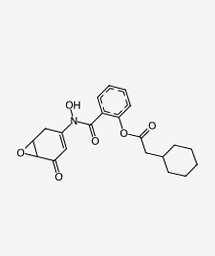 O=C(CC1CCCCC1)Oc1ccccc1C(=O)N(O)C1=CC(=O)C2OC2C1